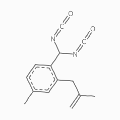 C=C(C)Cc1cc(C)ccc1C(N=C=O)N=C=O